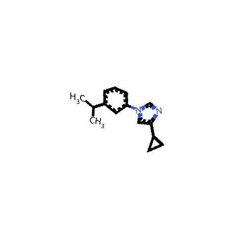 CC(C)c1cccc(-n2cnc(C3CC3)c2)c1